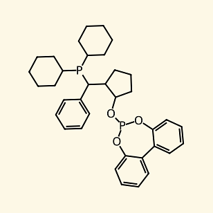 c1ccc(C(C2CCCC2Op2oc3ccccc3c3ccccc3o2)P(C2CCCCC2)C2CCCCC2)cc1